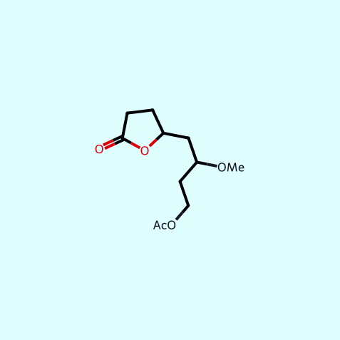 COC(CCOC(C)=O)CC1CCC(=O)O1